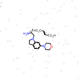 C[C@H](N)CN1CCc2ccc(N3CCOCC3)cc21.O=C(O)/C=C/C(=O)O